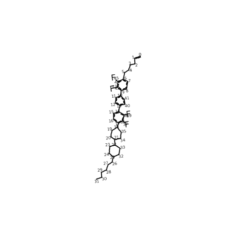 C=CCCCCc1ccc(-c2ccc(-c3ccc(C4CCC(C5CCC(CCCCCC)CC5)CC4)c(F)c3F)cc2)c(F)c1F